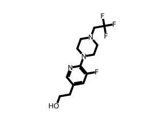 OCCc1cnc(N2CCN(CC(F)(F)F)CC2)c(F)c1